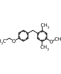 CCOc1ccc(Cc2cc(C)c(OC)cc2C)cc1